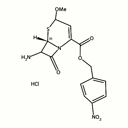 COC1C=C(C(=O)OCc2ccc([N+](=O)[O-])cc2)N2C(=O)C(N)[C@@H]2S1.Cl